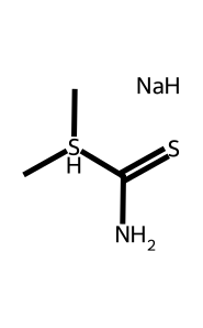 C[SH](C)C(N)=S.[NaH]